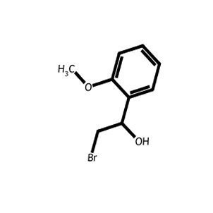 COc1ccccc1C(O)CBr